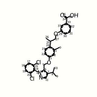 Cc1cc(OCc2c(C(C)C)cnn2-c2c(Cl)cccc2Cl)ccc1C(C)COc1cccc(C(=O)O)c1